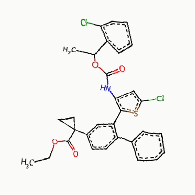 CCOC(=O)C1(c2ccc(-c3ccccc3)c(-c3sc(Cl)cc3NC(=O)OC(C)c3ccccc3Cl)c2)CC1